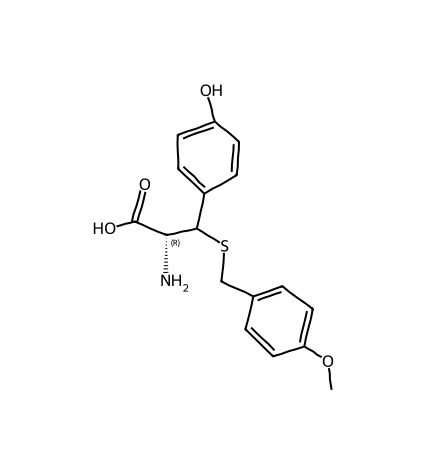 COc1ccc(CSC(c2ccc(O)cc2)[C@H](N)C(=O)O)cc1